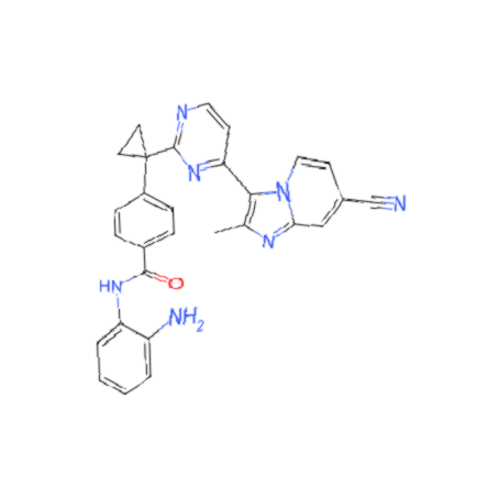 Cc1nc2cc(C#N)ccn2c1-c1ccnc(C2(c3ccc(C(=O)Nc4ccccc4N)cc3)CC2)n1